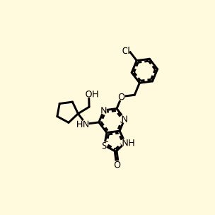 O=c1[nH]c2nc(OCc3cccc(Cl)c3)nc(NC3(CO)CCCC3)c2s1